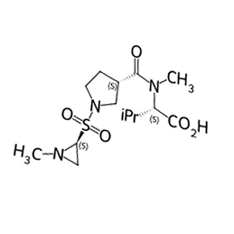 CC(C)[C@@H](C(=O)O)N(C)C(=O)[C@H]1CCN(S(=O)(=O)[C@H]2CN2C)C1